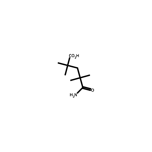 CC(C)(CC(C)(C)C(=O)O)C(N)=O